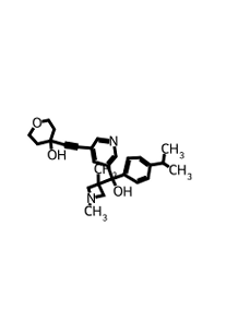 CC(C)c1ccc(C(O)(c2cncc(C#CC3(O)CCOCC3)c2)C2(C)CN(C)C2)cc1